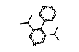 CC(C)c1cncc(C(C)C)c1-c1ccccc1